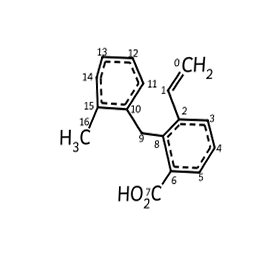 C=Cc1cccc(C(=O)O)c1Cc1ccccc1C